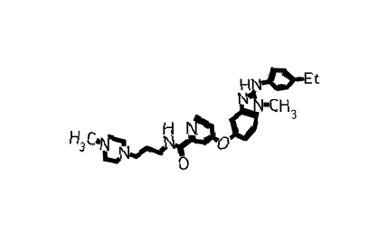 CCc1ccc(Nc2nc3cc(Oc4ccnc(C(=O)NCCCN5CCN(C)CC5)c4)ccc3n2C)cc1